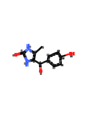 Cc1[nH]c(=O)[nH]c1C(=O)c1ccc(O)cc1